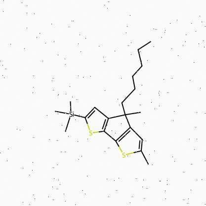 CCCCCCC1(C)c2cc(C)sc2-c2sc([Si](C)(C)C)cc21